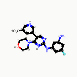 Nc1cc(F)cc(Nc2ncc(-c3cncc(C(=O)O)c3)c(N3CCOCC3)n2)c1